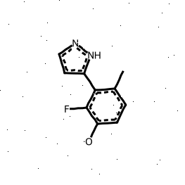 Cc1ccc([O])c(F)c1-c1ccn[nH]1